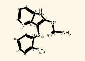 NC(=O)Oc1[nH]c2cccnc2c1Sc1ccccc1C(F)(F)F